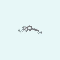 Cc1nc2cc(C#CCO)ccc2[nH]1